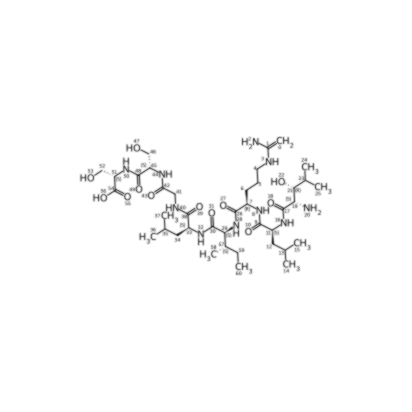 C=C(N)NCCC[C@@H](NC(=O)[C@H](CC(C)C)NC(=O)[C@@H](N)[C@H](O)C(C)C)C(=O)N[C@H](C(=O)N[C@@H](CC(C)C)C(=O)NCC(=O)N[C@@H](CO)C(=O)N[C@@H](CO)C(=O)O)[C@@H](C)CC